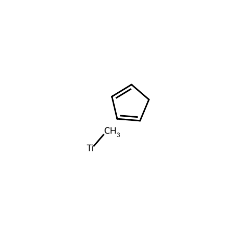 C1=CCC=C1.[CH3][Ti]